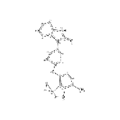 Cc1ccc(Oc2ccc(-n3c(=O)[nH]c4ccncc43)cn2)c2c1OCC21CC1